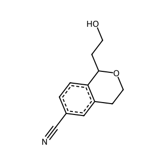 N#Cc1ccc2c(c1)CCOC2CCO